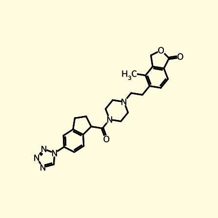 Cc1c(CCN2CCN(C(=O)C3CCc4cc(-n5cnnn5)ccc43)CC2)ccc2c1COC2=O